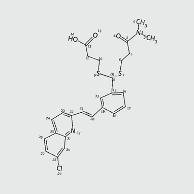 CN(C)C(=O)CCS[C@@H](SCCC(=O)O)c1cccc(C=Cc2ccc3ccc(Cl)cc3n2)c1